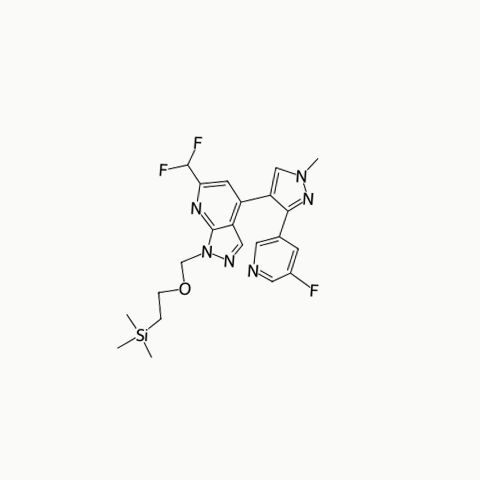 Cn1cc(-c2cc(C(F)F)nc3c2cnn3COCC[Si](C)(C)C)c(-c2cncc(F)c2)n1